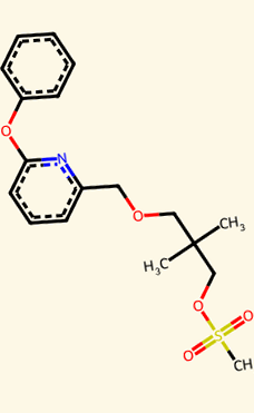 CC(C)(COCc1cccc(Oc2ccccc2)n1)COS(C)(=O)=O